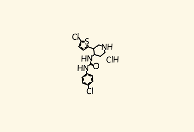 Cl.O=C(Nc1ccc(Cl)cc1)NC1CCNCC1c1ccc(Cl)s1